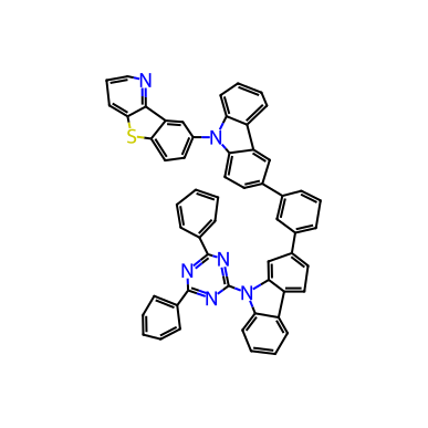 c1ccc(-c2nc(-c3ccccc3)nc(-n3c4ccccc4c4ccc(-c5cccc(-c6ccc7c(c6)c6ccccc6n7-c6ccc7sc8cccnc8c7c6)c5)cc43)n2)cc1